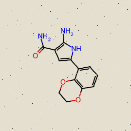 NC(=O)c1cc(-c2cccc3c2OCCO3)[nH]c1N